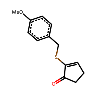 COc1ccc(CSC2=CCCC2=O)cc1